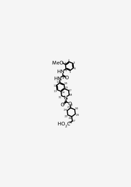 COc1ccccc1NC(=O)Nc1ccc2c(c1)CCN(C(=O)OC1CCC(CC(=O)O)CC1)C2